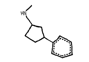 CNC1CCC(c2ccccc2)C1